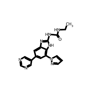 CCNC(=O)Nc1nc2cc(-c3cncnc3)cc(-n3cccn3)c2[nH]1